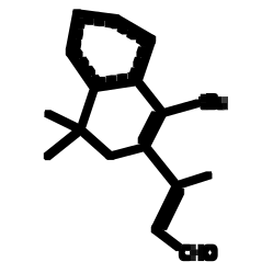 C/C(=C\C=O)C1=C(C(C)(C)C)c2ccccc2C(C)(C)C1